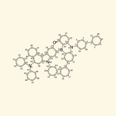 c1ccc(-c2ccc(N3c4ccc(-c5ccccc5)cc4B4c5cc6c(cc5Oc5cccc3c54)c3c4ccccc4c(N(c4ccccc4)c4ccccc4)cc3n6-c3ccccc3)cc2)cc1